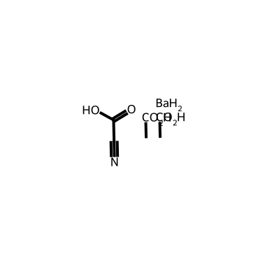 CC(=O)O.CC(=O)O.N#CC(=O)O.[BaH2]